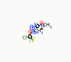 C[C@H](NC(=O)c1cc(Cl)cc(C(F)(F)F)c1)c1ncnn1-c1ccc(C(=O)N(C)C2CC2)cn1